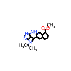 COC(=O)c1cccc2cc(-c3cn(C(C)C)c4ncnc(N)c34)ccc12